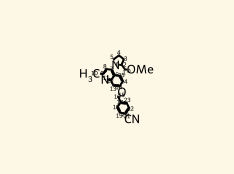 COCC1CCCN1c1cc(C)nc2cc(OCc3ccc(C#N)cc3)ccc12